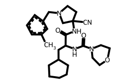 Cc1cccc(CN2CCC(C#N)(NC(=O)C(CC3CCCCC3)NC(=O)N3CCOCC3)C2)c1